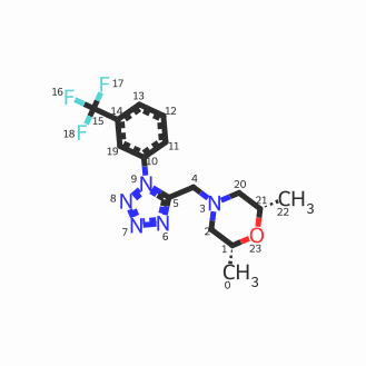 C[C@@H]1CN(Cc2nnnn2-c2cccc(C(F)(F)F)c2)C[C@H](C)O1